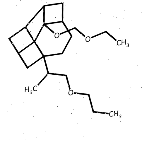 CCCOCC(C)C12CCC3CC4C5CC(C1)C52C34OCOCC